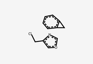 ClCc1cocn1.c1ccc2c(c1)C2